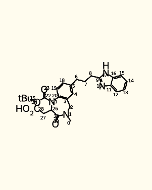 CN1Cc2cc(CCCc3nc4ccccc4[nH]3)ccc2N(C(=O)OC(C)(C)C)C(CC(=O)O)C1=O